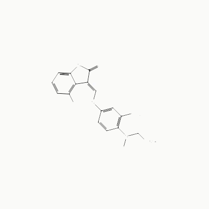 CCCN(COC)c1ccc(N/C=C2/C(=O)Nc3cccc(F)c32)cc1C